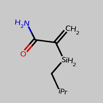 C=C([SiH2]CC(C)C)C(N)=O